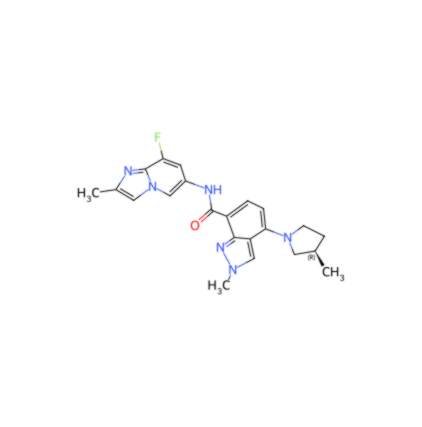 Cc1cn2cc(NC(=O)c3ccc(N4CC[C@@H](C)C4)c4cn(C)nc34)cc(F)c2n1